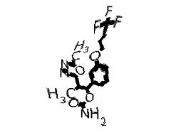 Cc1nnc(C(C)C(OC(N)=O)c2cccc(OCCCC(F)(F)F)c2)o1